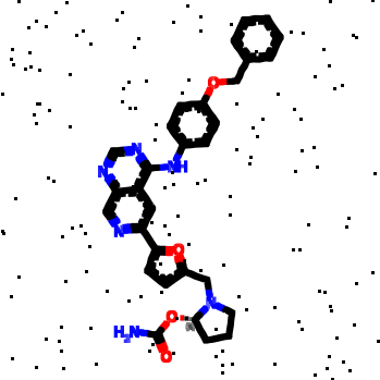 NC(=O)O[C@H]1CCCN1Cc1ccc(-c2cc3c(Nc4ccc(OCc5ccccc5)cc4)ncnc3cn2)o1